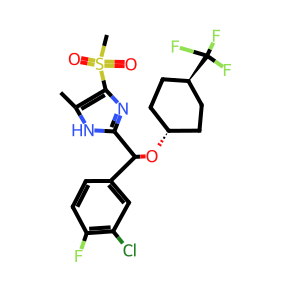 Cc1[nH]c(C(O[C@H]2CC[C@H](C(F)(F)F)CC2)c2ccc(F)c(Cl)c2)nc1S(C)(=O)=O